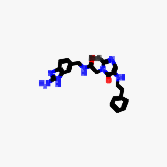 CSc1ncc(NCCc2ccccc2)c(=O)n1CC(=O)NCc1ccc2nc(N)[nH]c2c1